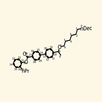 CCCCCCCCCCCCCCCCOC(C)c1ccc(-c2ccc(C(=O)Oc3ccccc3CCC)cc2)cc1